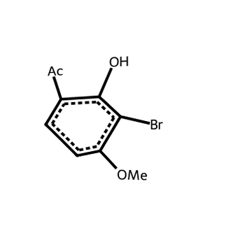 COc1ccc(C(C)=O)c(O)c1Br